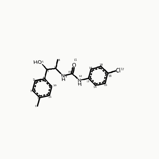 Cc1ccc(C(O)C(C)NC(=O)Nc2ccc(Cl)cc2)cc1